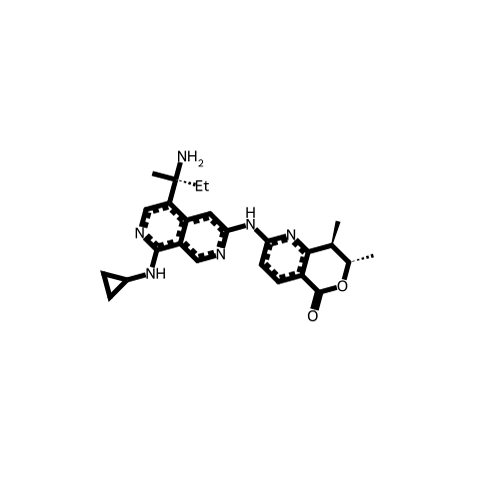 CC[C@](C)(N)c1cnc(NC2CC2)c2cnc(Nc3ccc4c(n3)[C@@H](C)[C@H](C)OC4=O)cc12